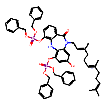 CC(C)=CCC/C(C)=C/CC/C(C)=C/CN1C(=O)c2cccc(OP(=O)(OCc3ccccc3)OCc3ccccc3)c2Nc2c(OP(=O)(OCc3ccccc3)OCc3ccccc3)cc(O)cc21